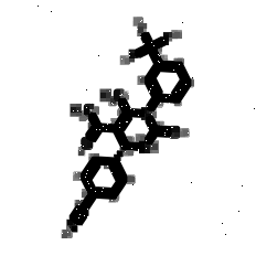 CC(=O)C1=C(C)N(c2cccc(C(F)(F)F)c2)C(=O)N[C@@H]1c1ccc(C#N)cc1